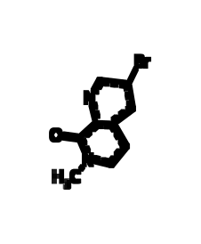 Cn1ccc2cc(Br)cnc2c1=O